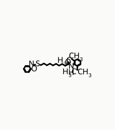 CC(C)c1cccc(C(C)C)c1NC(=O)CCCCCCCCCSc1nc2ccccc2o1